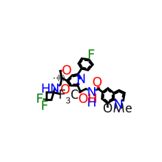 COc1cc(C(=O)NCC(O)(c2cc3c(c(-c4ccc(F)cc4)n2)OC[C@]3(C)C(=O)NC2(C)CC(F)(F)C2)C(F)(F)F)cc2cccnc12